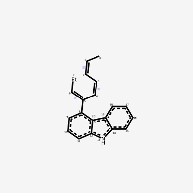 C\C=C/C=C\C(=C/CC)c1cccc2[nH]c3ccccc3c12